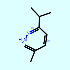 C=C(C)/C=C\C(=N/N)C(C)C